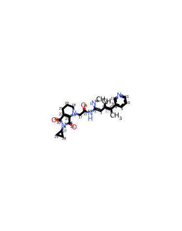 C=N/C(=C\C(C)=C(/C)c1cccnc1)NC(=O)CN1CCCC2=C1C(=O)N(C1CC1)C2=O